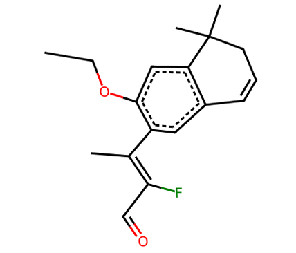 CCOc1cc2c(cc1C(C)=C(F)C=O)C=CCC2(C)C